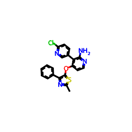 Cc1nc(-c2ccccc2)c(Oc2ccnc(N)c2-c2ccc(Cl)nc2)s1